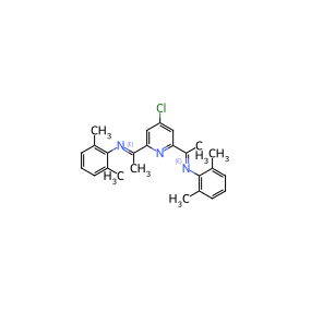 C/C(=N\c1c(C)cccc1C)c1cc(Cl)cc(/C(C)=N/c2c(C)cccc2C)n1